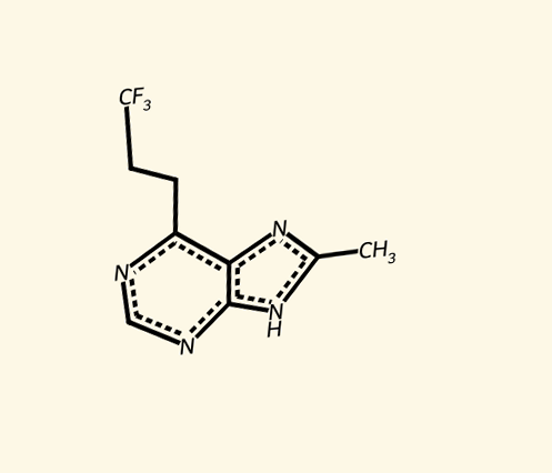 Cc1nc2c(CCC(F)(F)F)ncnc2[nH]1